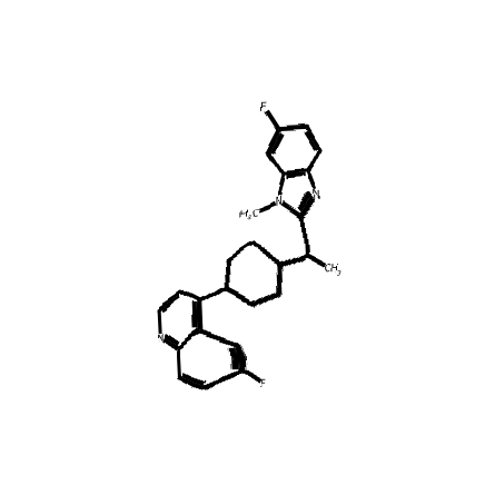 CC(c1nc2ccc(F)cc2n1C)C1CCC(c2ccnc3ccc(F)cc23)CC1